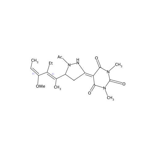 C/C=C(OC)\C(CC)=C(/C)C1CC(=C2C(=O)N(C)C(=O)N(C)C2=O)NN1C(C)=O